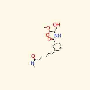 COC(=O)C(CO)NC(=O)c1cccc(C=CCCCC(=O)N(C)C)c1